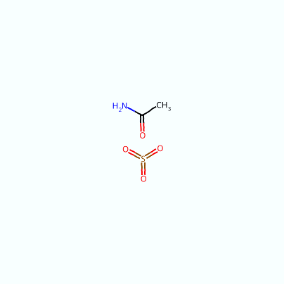 CC(N)=O.O=S(=O)=O